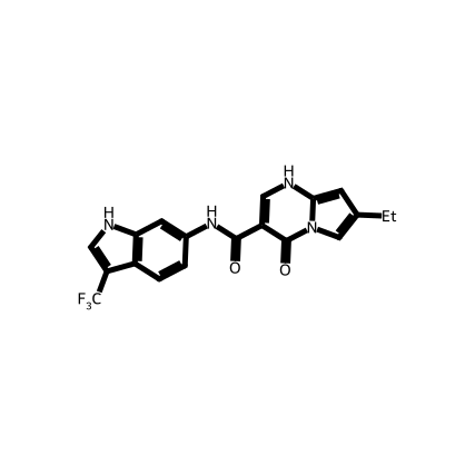 CCc1cc2[nH]cc(C(=O)Nc3ccc4c(C(F)(F)F)c[nH]c4c3)c(=O)n2c1